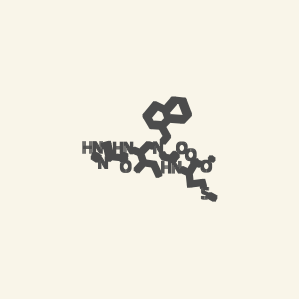 CCC(C)C(CN(CC(=O)NC(CCSC)C(=O)OC)Cc1cccc2ccccc12)NC(=O)c1c[nH]cn1